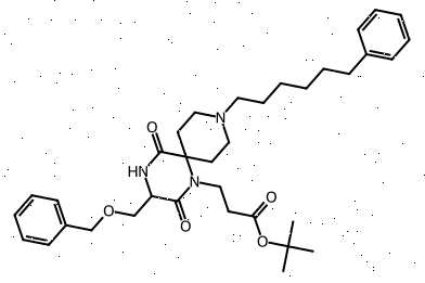 CC(C)(C)OC(=O)CCN1C(=O)C(COCc2ccccc2)NC(=O)C12CCN(CCCCCCc1ccccc1)CC2